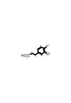 O=C(O)CCc1ccc(F)c(Cl)c1